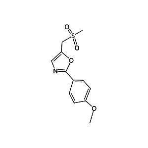 COc1ccc(-c2ncc(CS(C)(=O)=O)o2)cc1